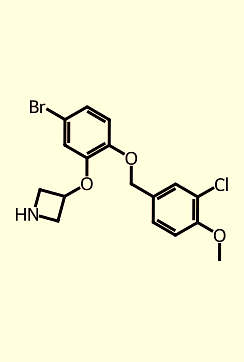 COc1ccc(COc2ccc(Br)cc2OC2CNC2)cc1Cl